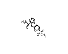 CS(=O)(=O)c1ccc(C[N+]2(C(N)=O)N=[C]C=N2)o1